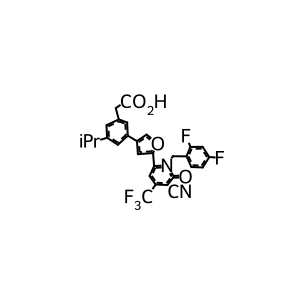 CC(C)c1cc(CC(=O)O)cc(-c2coc(-c3cc(C(F)(F)F)c(C#N)c(=O)n3Cc3ccc(F)cc3F)c2)c1